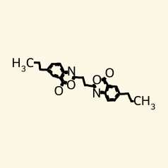 CCCc1ccc2nc(CCc3nc4ccc(CCC)cc4c(=O)o3)oc(=O)c2c1